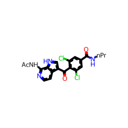 CCCNC(=O)c1cc(Cl)c(C(=O)c2c[nH]c3c(NC(C)=O)nccc23)c(Cl)c1